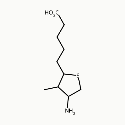 CC1C(N)CSC1CCCCC(=O)O